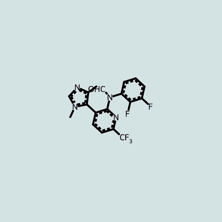 Cc1ncn(C)c1-c1ccc(C(F)(F)F)nc1N(C=O)c1cccc(F)c1F